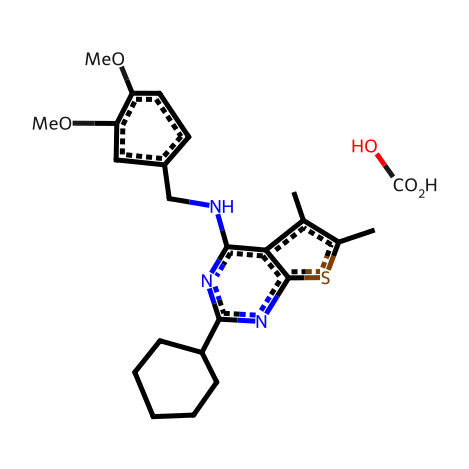 COc1ccc(CNc2nc(C3CCCCC3)nc3sc(C)c(C)c23)cc1OC.O=C(O)O